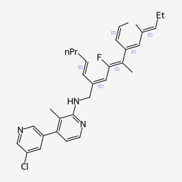 C\C=C/C(=C\C(C)=C\CC)C(/C)=C(F)/C=C(\C=C\CCC)CNc1nccc(-c2cncc(Cl)c2)c1C